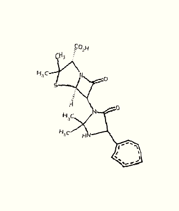 CC1(C)S[C@@H]2C(N3C(=O)C(c4ccccc4)NC3(C)C)C(=O)N2[C@H]1C(=O)O